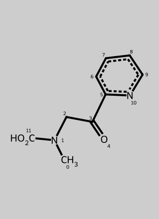 CN(CC(=O)c1ccccn1)C(=O)O